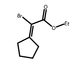 CCOC(=O)C(Br)=C1CCCC1